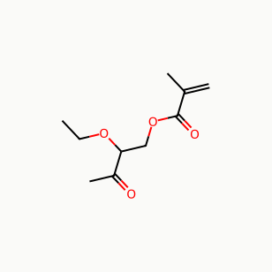 C=C(C)C(=O)OCC(OCC)C(C)=O